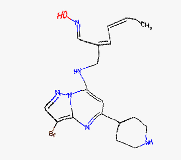 C\C=C/C=C(\C=N\O)CNc1cc(C2CCNCC2)nc2c(Br)cnn12